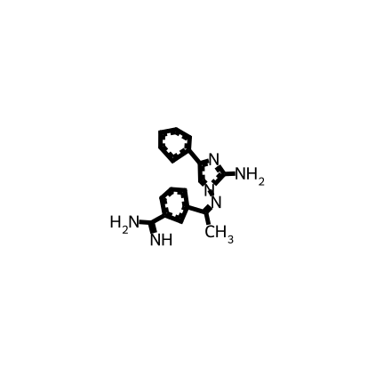 CC(=Nn1cc(-c2ccccc2)nc1N)c1cccc(C(=N)N)c1